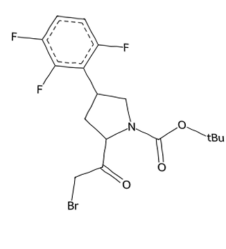 CC(C)(C)OC(=O)N1CC(c2c(F)ccc(F)c2F)CC1C(=O)CBr